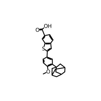 COc1ccc(-c2cc3ccc(C(=O)O)cc3s2)cc1C12CC3CC(CC(C3)C1)C2